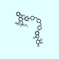 C[C@@H]1Cc2c([nH]c3ccccc23)[C@@H](c2cnc(N3CCC(CN4CCC(CN5CCN(c6ccc7c(c6)CN(C6CCC(=O)NC6=O)C7=O)CC5)CC4)CC3)nc2)N1CC(C)(C)F